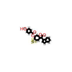 O=C(Oc1cc2oc(=O)c(C3=CCc4ccccc43)c-2ccc1SS)c1ccc(O)cc1